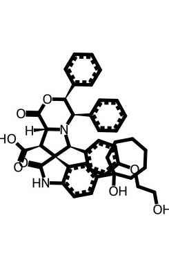 O=C1O[C@@H](c2ccccc2)[C@@H](c2ccccc2)N2[C@@H](c3ccc(OCCO)cc3)[C@]3(C(=O)Nc4ccc(C5(O)CCCCCC5)cc43)[C@@H](C(=O)O)[C@H]12